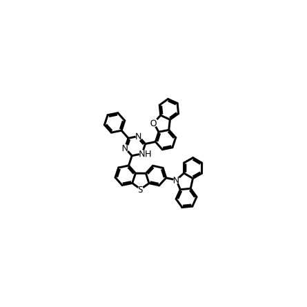 c1ccc(C2=NC(c3cccc4sc5cc(-n6c7ccccc7c7ccccc76)ccc5c34)NC(c3cccc4c3oc3ccccc34)=N2)cc1